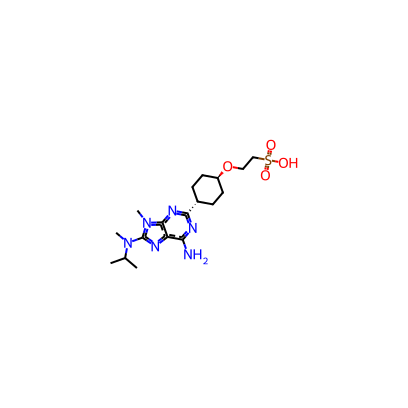 CC(C)N(C)c1nc2c(N)nc([C@H]3CC[C@H](OCCS(=O)(=O)O)CC3)nc2n1C